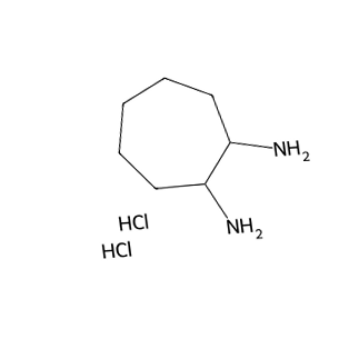 Cl.Cl.NC1CCCCCC1N